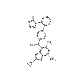 Cc1cc(C)c2nc(C3CC3)cn2c1C(O)c1ccc(-c2ccccc2-c2nnn[nH]2)cc1